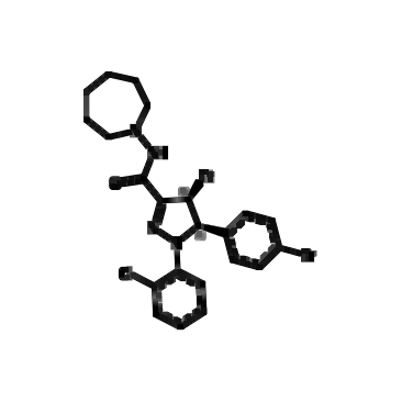 CC[C@@H]1C(C(=O)NN2CCCCCC2)=NN(c2ccccc2Cl)[C@@H]1c1ccc(Br)cc1